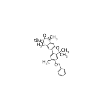 Cc1cc2c(cc1OCc1ccccc1)C(C)(C)Oc1cc(N(C)C(=O)OC(C)(C)C)c(C)cc1-2